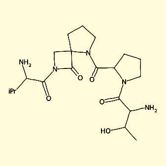 CC(C)C(N)C(=O)N1CC2(CCCN2C(=O)C2CCCN2C(=O)C(N)C(C)O)C1=O